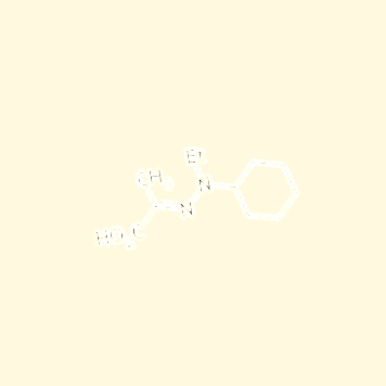 CCN(N=C(C)C(=O)O)C1CCCCC1